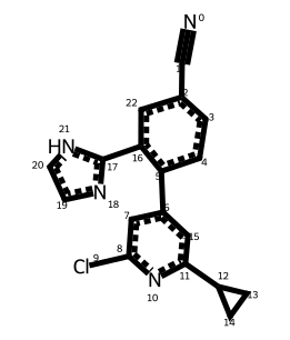 N#Cc1ccc(-c2cc(Cl)nc(C3CC3)c2)c(-c2ncc[nH]2)c1